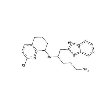 NCCCC(Cc1nc2ccccc2[nH]1)NC1CCCc2ccc(Cl)nc21